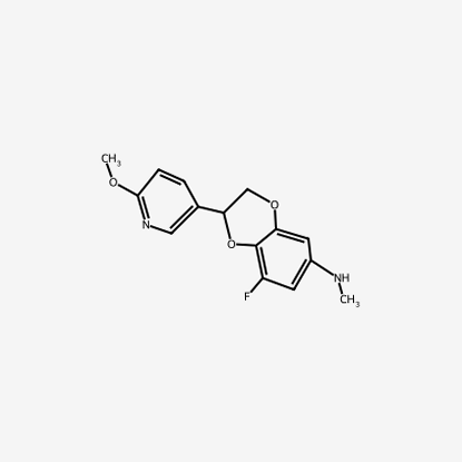 CNc1cc(F)c2c(c1)OCC(c1ccc(OC)nc1)O2